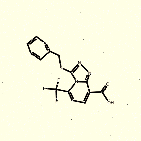 O=C(O)c1ccc(C(F)(F)F)n2c(SCc3ccccc3)nnc12